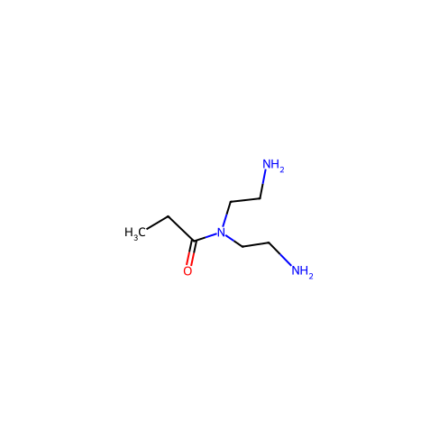 CCC(=O)N(CCN)CCN